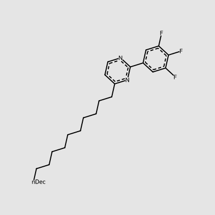 CCCCCCCCCCCCCCCCCCCCc1ccnc(-c2cc(F)c(F)c(F)c2)n1